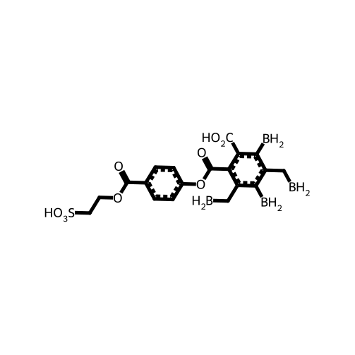 BCc1c(B)c(CB)c(C(=O)Oc2ccc(C(=O)OCCS(=O)(=O)O)cc2)c(C(=O)O)c1B